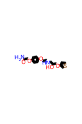 NC(=O)COc1ccc(OCCNC[C@H](O)COc2ccsc2)cc1